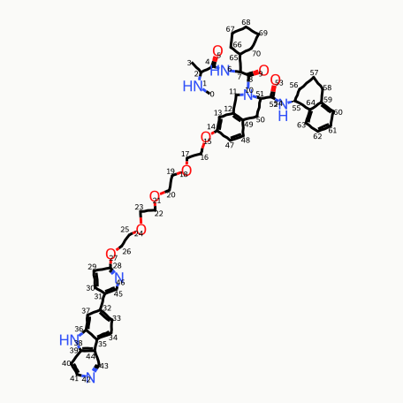 CNC(C)C(=O)NC(C(=O)N1Cc2cc(OCCOCCOCCOCCOc3ccc(-c4ccc5c(c4)[nH]c4ccncc45)cn3)ccc2CC1C(=O)N[C@H]1CCCc2ccccc21)C1CCCCC1